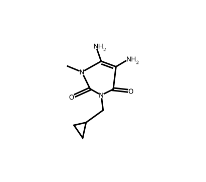 Cn1c(N)c(N)c(=O)n(CC2CC2)c1=O